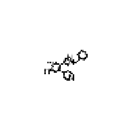 Cn1cc(-c2cnn(Cc3ccccc3)c2)c(-c2ccncc2)cc1=O